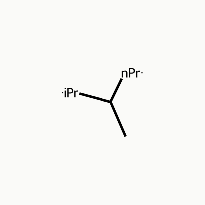 CC[CH]C(C)[C](C)C